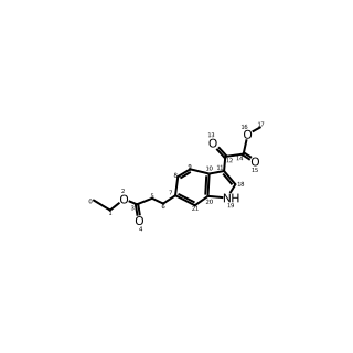 CCOC(=O)CCc1ccc2c(C(=O)C(=O)OC)c[nH]c2c1